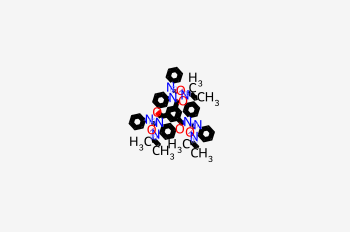 CC/C(C)=N/O/C(=N\C1CCCCC1)N(C(=O)c1cc(C(=O)N(/C(=N/C2CCCCC2)O/N=C(\C)CC)C2CCCCC2)cc(C(=O)N(/C(=N/C2CCCCC2)O/N=C(\C)CC)C2CCCCC2)c1)C1CCCCC1